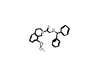 COc1cccc2c1CN(C(=O)CNC(c1ccccc1)c1ccccc1)CC2